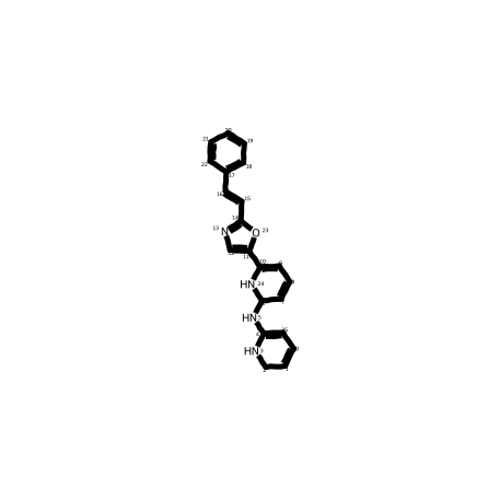 C1=CCNC(NC2C=CC=C(c3cnc(/C=C/c4ccccc4)o3)N2)=C1